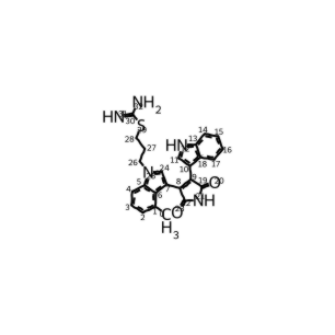 Cc1cccc2c1c(C1=C(c3c[nH]c4ccccc34)C(=O)NC1=O)cn2CCCSC(=N)N